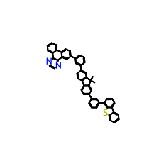 CC1(C)c2cc(-c3cccc(-c4ccc5c6ccccc6c6nccnc6c5c4)c3)ccc2-c2ccc(-c3cccc(-c4cccc5c4sc4ccccc45)c3)cc21